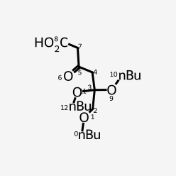 CCCCOCC(CC(=O)CC(=O)O)(OCCCC)OCCCC